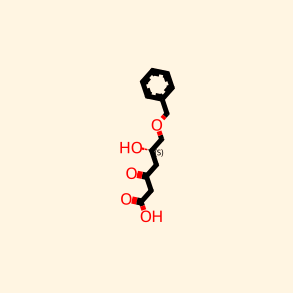 O=C(O)CC(=O)C[C@H](O)COCc1ccccc1